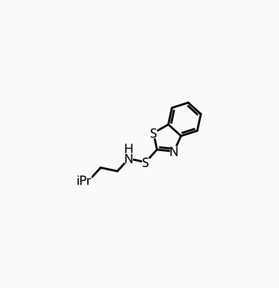 CC(C)CCNSc1nc2ccccc2s1